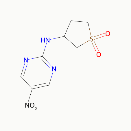 O=[N+]([O-])c1cnc(NC2CCS(=O)(=O)C2)nc1